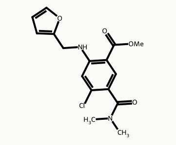 COC(=O)c1cc(C(=O)N(C)C)c(Cl)cc1NCc1ccco1